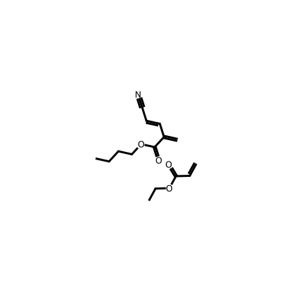 C=C(C=CC#N)C(=O)OCCCC.C=CC(=O)OCC